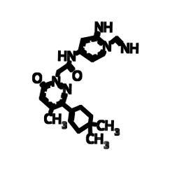 Cc1cc(=O)n(CC(=O)Nc2ccn(C=N)c(=N)c2)nc1C1=CCC(C)(C)CC1